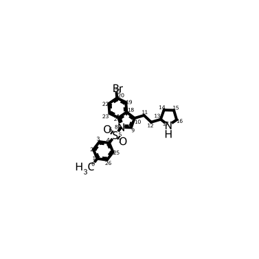 Cc1ccc(S(=O)(=O)n2cc(CCC3CCCN3)c3cc(Br)ccc32)cc1